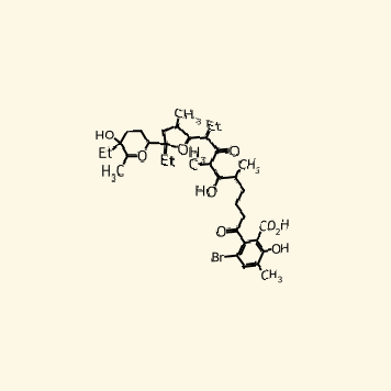 CCC(C(=O)C(C)C(O)C(C)CCCC(=O)c1c(Br)cc(C)c(O)c1C(=O)O)C1OC(CC)(C2CCC(O)(CC)C(C)O2)CC1C